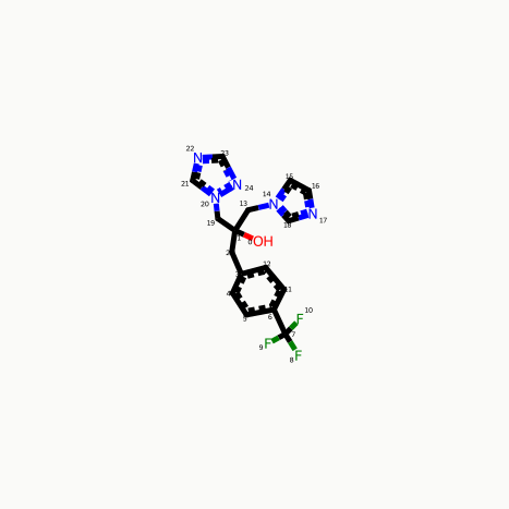 OC(Cc1ccc(C(F)(F)F)cc1)(Cn1ccnc1)Cn1cncn1